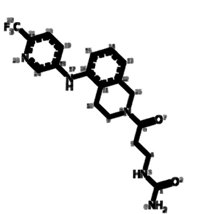 NC(=O)NCCC(=O)N1CCc2c(cccc2Nc2ccc(C(F)(F)F)nc2)C1